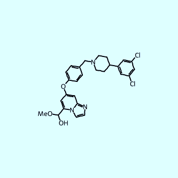 COC(O)c1cc(Oc2ccc(CN3CCC(c4cc(Cl)cc(Cl)c4)CC3)cc2)cc2nccn12